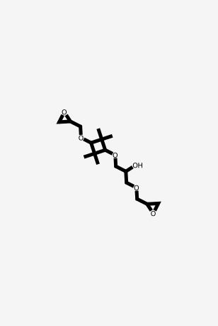 CC1(C)C(OCC(O)COCC2CO2)C(C)(C)C1OCC1CO1